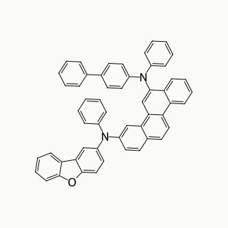 c1ccc(-c2ccc(N(c3ccccc3)c3cc4c5cc(N(c6ccccc6)c6ccc7oc8ccccc8c7c6)ccc5ccc4c4ccccc34)cc2)cc1